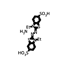 CCn1c(=NN=c2sc3cc(S(=O)(=O)O)ccc3n2CC)sc2cc(S(=O)(=O)O)ccc21.N